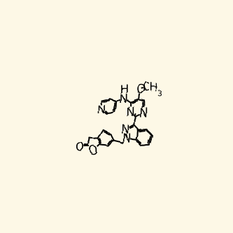 COc1cnc(-c2nn(Cc3ccc4c(c3)OC(=O)C4)c3ccccc23)nc1Nc1ccncc1